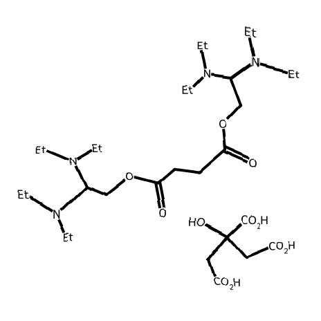 CCN(CC)C(COC(=O)CCC(=O)OCC(N(CC)CC)N(CC)CC)N(CC)CC.O=C(O)CC(O)(CC(=O)O)C(=O)O